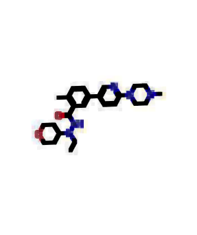 CCN(NC(=O)c1cc(-c2ccc(N3CCN(C)CC3)nc2)ccc1C)C1CCOCC1